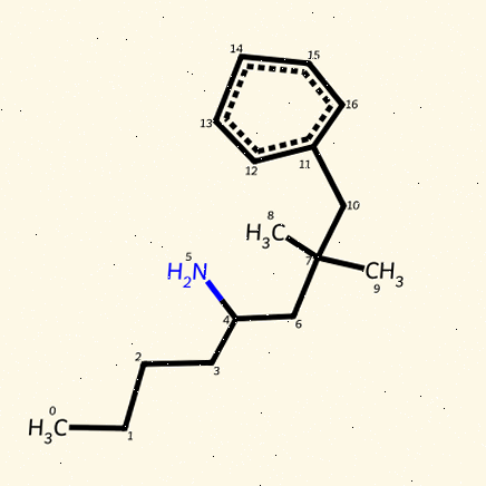 CCCCC(N)CC(C)(C)Cc1ccccc1